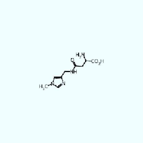 Cn1cnc(CNC(=O)CC(N)C(=O)O)c1